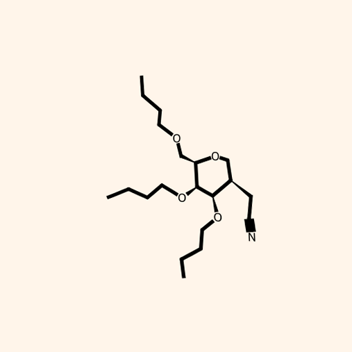 CCCCOC[C@H]1OC[C@@H](CC#N)[C@@H](OCCCC)[C@H]1OCCCC